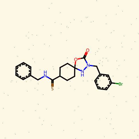 O=C1OC2(CCC(C(=S)NCc3ccccc3)CC2)NN1Cc1cccc(Br)c1